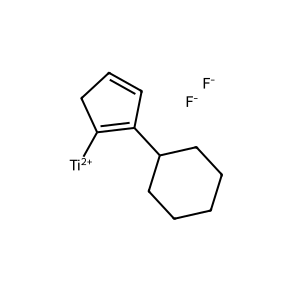 [F-].[F-].[Ti+2][C]1=C(C2CCCCC2)C=CC1